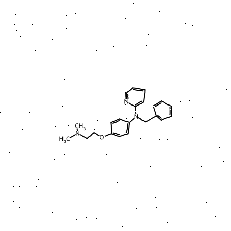 CN(C)CCOc1ccc(N(Cc2ccccc2)c2ccccn2)cc1